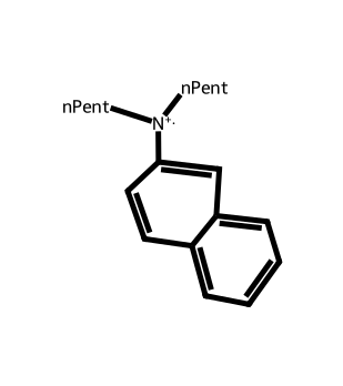 CCCCC[N+](CCCCC)c1ccc2ccccc2c1